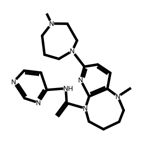 C=C(Nc1ccncn1)N1CCCCN(C)c2ccc(N3CCCN(C)CC3)nc21